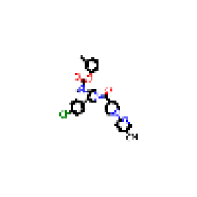 Cc1cccc(OC(=O)N(C)[C@@H]2CN(C(=O)C3CCN(c4ccc(C#N)cn4)CC3)C[C@H]2c2ccc(Cl)cc2)c1